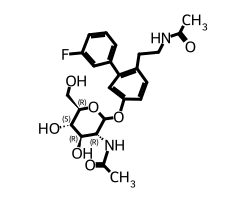 CC(=O)NCCc1ccc(OC2O[C@H](CO)[C@@H](O)[C@H](O)[C@H]2NC(C)=O)cc1-c1cccc(F)c1